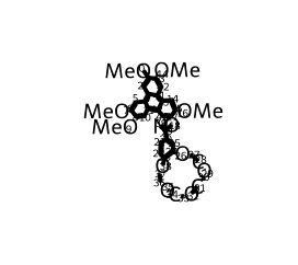 COc1cc2c3cc(OC)c(OC)cc3c3c(cc(OC)c4oc(-c5ccc6c(c5)OCCOCCOCCOCCO6)nc43)c2cc1OC